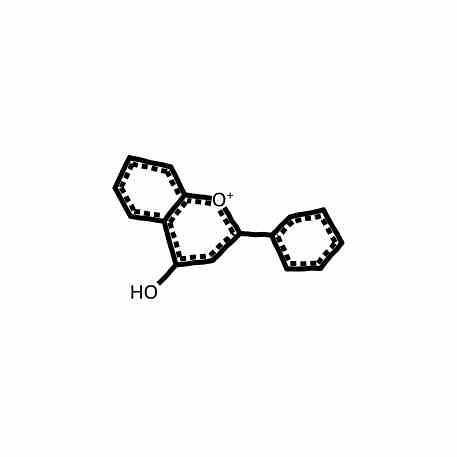 Oc1cc(-c2ccccc2)[o+]c2ccccc12